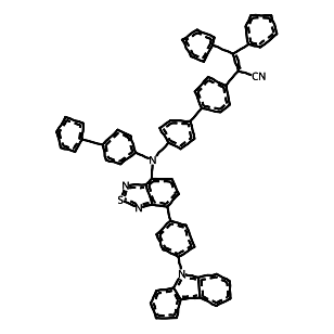 N#CC(=C(c1ccccc1)c1ccccc1)c1ccc(-c2ccc(N(c3ccc(-c4ccccc4)cc3)c3ccc(-c4ccc(-n5c6ccccc6c6ccccc65)cc4)c4nsnc34)cc2)cc1